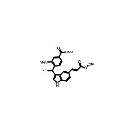 CCCC(c1ccc(C(=O)OC)cc1OC)c1c[nH]c2ccc(/C=C/C(=O)OC(C)(C)C)cc12